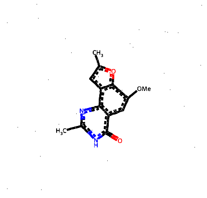 COc1cc2c(=O)[nH]c(C)nc2c2cc(C)oc12